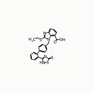 CCSc1nc2cccc(C(=O)O)c2n1Cc1ccc(-c2ccccc2-c2nc(=S)s[nH]2)cc1